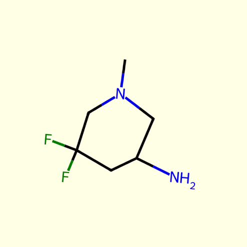 CN1CC(N)CC(F)(F)C1